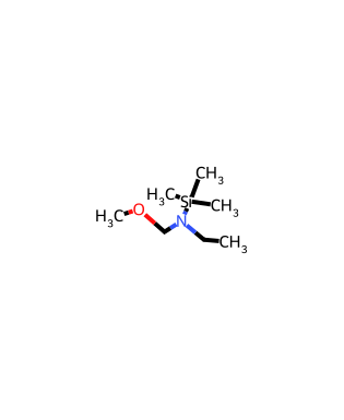 CCN(COC)[Si](C)(C)C